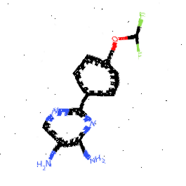 Nc1cnc(-c2ccc(OC(F)F)cc2)nc1N